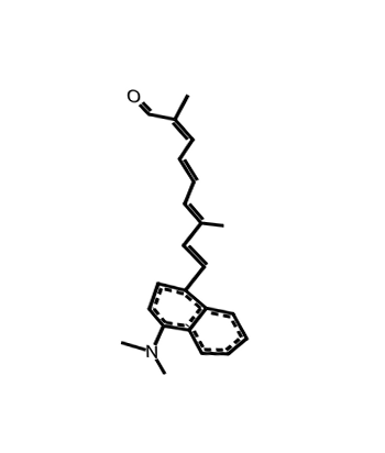 C/C(C=O)=C/C=C/C=C(C)/C=C/c1ccc(N(C)C)c2ccccc12